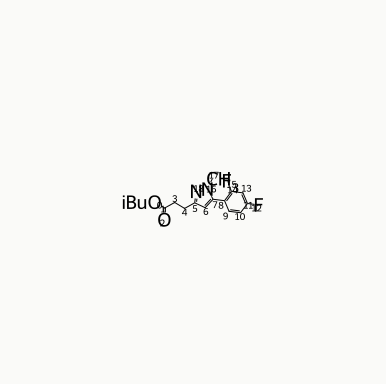 CC(C)COC(=O)CCc1cc(-c2ccc(F)cc2F)n(C)n1